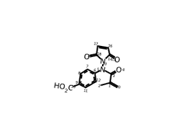 C=C(C)C(=O)N(c1ccc(C(=O)O)cc1)N1C(=O)C=CC1=O